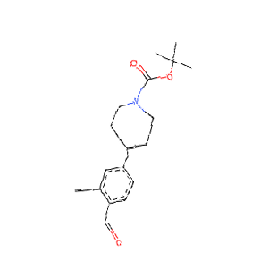 Cc1cc(C2CCN(C(=O)OC(C)(C)C)CC2)ccc1C=O